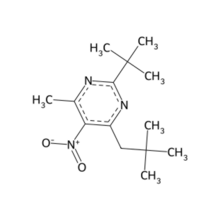 Cc1nc(C(C)(C)C)nc(CC(C)(C)C)c1[N+](=O)[O-]